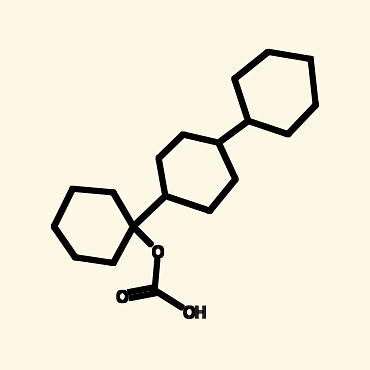 O=C(O)OC1(C2CCC(C3CCCCC3)CC2)CCCCC1